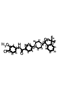 Cc1cc(NC(=O)c2ccc(N3CCN(C(=O)c4ccccc4C(F)(F)F)CC3)nn2)ccc1Cl